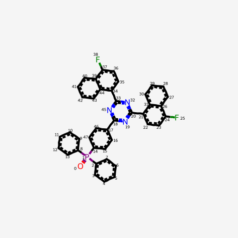 O=P(c1ccccc1)(c1ccccc1)c1ccc(-c2nc(-c3ccc(F)c4ccccc34)nc(-c3ccc(F)c4ccccc34)n2)cc1